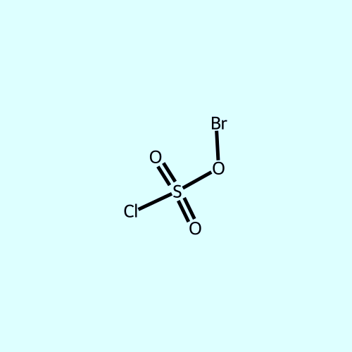 O=S(=O)(Cl)OBr